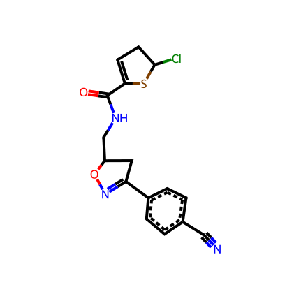 N#Cc1ccc(C2=NOC(CNC(=O)C3=CCC(Cl)S3)C2)cc1